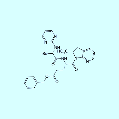 CC[C@H](C)[C@H](Nc1ncccn1)C(=O)N[C@@H](CCC(=O)OCc1ccccc1)C(=O)N1c2ncccc2C[C@H]1C(=O)O